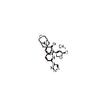 CC1=C(N2CCC3(CC4COCC(C3)N4CCc3ccc(-n4cnnn4)nn3)C2=O)COC1=O